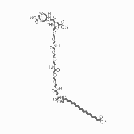 O=C(O)CCCCCCCCCCCCCCCCC(=O)N[C@@H](CCC(=O)NCCOCCOCC(=O)NCCOCCOCC(=O)NCCOCCOCC(=O)N[C@@H](CCC(=O)O)C(=O)CN[C@H]1CSSC[C@@H](C(=O)O)NCC1=O)C(=O)O